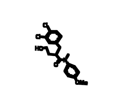 COc1ccc(N(C)C(=O)C(CCO)Cc2ccc(Cl)c(Cl)c2)cc1